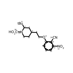 CC(C)(C)C1CC(CCOc2cccc([N+](=O)[O-])c2C#N)CCN1C(=O)O